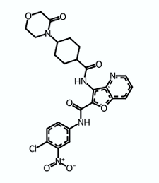 O=C(Nc1ccc(Cl)c([N+](=O)[O-])c1)c1oc2cccnc2c1NC(=O)C1CCC(N2CCOCC2=O)CC1